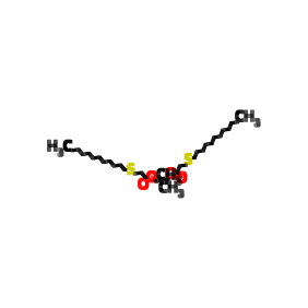 CCCCCCCCCCCCSCCC(=O)OCC(C)(C)COC(=O)CCSCCCCCCCCCCCC